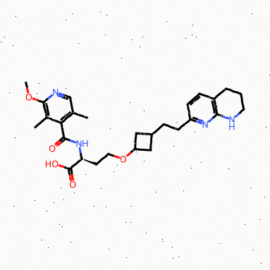 COc1ncc(C)c(C(=O)N[C@@H](CCOC2CC(CCc3ccc4c(n3)NCCC4)C2)C(=O)O)c1C